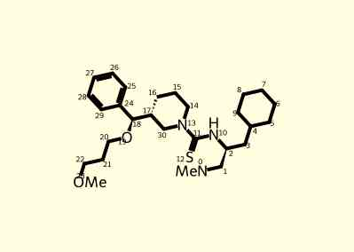 CNC[C@H](CC1CCCCC1)NC(=S)N1CCC[C@@H]([C@@H](OCCCOC)c2ccccc2)C1